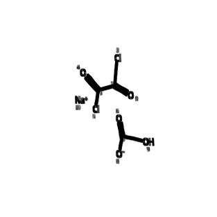 O=C(Cl)C(=O)Cl.O=C([O-])O.[Na+]